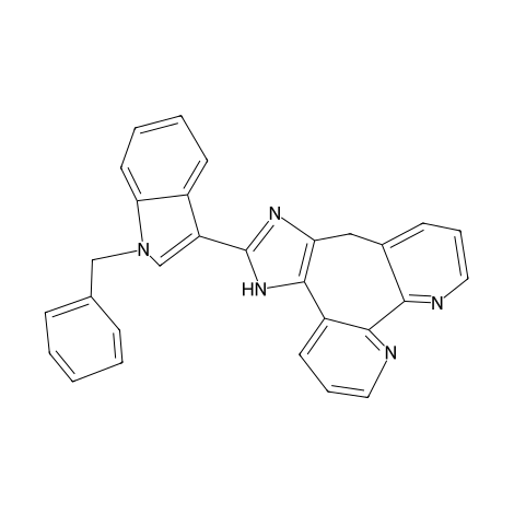 c1ccc(Cn2cc(-c3nc4c([nH]3)-c3cccnc3-c3ncccc3C4)c3ccccc32)cc1